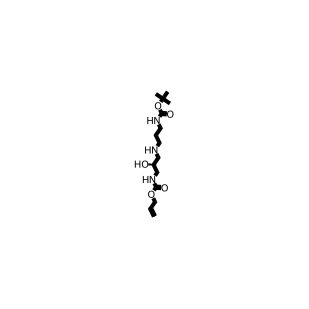 C=CCOC(=O)NC[C@@H](O)CNCCCNC(=O)OC(C)(C)C